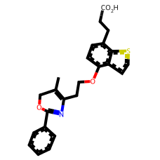 CC1=C(CCOc2ccc(CCC(=O)O)c3sccc23)N=C(c2ccccc2)OC1